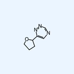 c1ncc(C2CCCO2)nn1